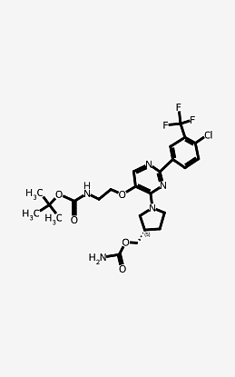 CC(C)(C)OC(=O)NCCOc1cnc(-c2ccc(Cl)c(C(F)(F)F)c2)nc1N1CC[C@H](COC(N)=O)C1